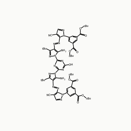 CCCCOC(=O)c1cc(C(=O)OCCCC)cc(-n2ncc(C#N)c2N=Nc2c(C(C)(C)C)nn(-c3nc(O)nc(-n4nc(C(C)(C)C)c(N=Nc5c(C#N)cnn5-c5cc(C(=O)OCCCC)cc(C(=O)OCCCC)c5)c4N)n3)c2N)c1